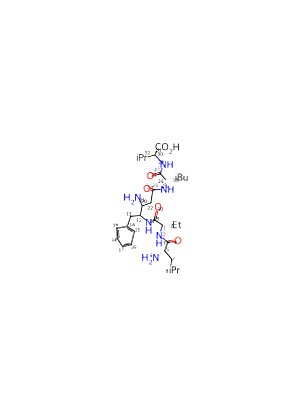 CC[C@H](NC(=O)[C@@H](N)CC(C)C)C(=O)NC(Cc1ccccc1)C(N)CC(=O)N[C@H](C(=O)N[C@H](C(=O)O)C(C)C)[C@@H](C)CC